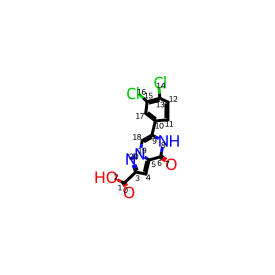 O=C(O)c1cc2c(=O)[nH]c(-c3ccc(Cl)c(Cl)c3)cn2n1